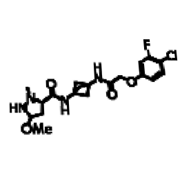 COC1CC(C(=O)NC23CC(NC(=O)COc4ccc(Cl)c(F)c4)(C2)C3)N(C)N1